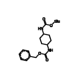 CC(C)(C)OC(=O)NC1CCC(NC(=O)OCc2ccccc2)CC1